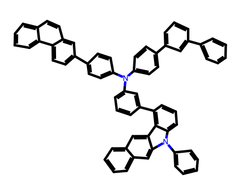 c1ccc(-c2cccc(-c3ccc(N(c4ccc(-c5ccc6c(ccc7ccccc76)c5)cc4)c4cccc(-c5cccc6c5c5cc7ccccc7cc5n6-c5ccccc5)c4)cc3)c2)cc1